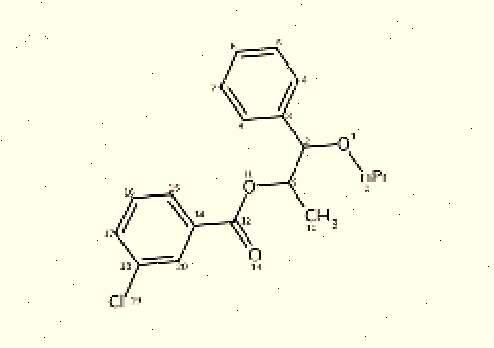 CCCOC(c1ccccc1)C(C)OC(=O)c1cccc(Cl)c1